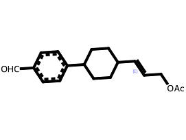 CC(=O)OC/C=C/C1CCC(c2ccc(C=O)cc2)CC1